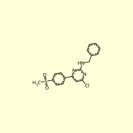 CS(=O)(=O)c1ccc(-c2cc(Cl)nc(NCc3ccccc3)n2)cc1